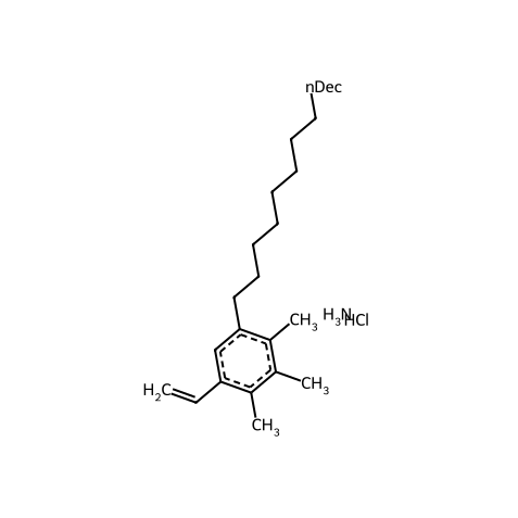 C=Cc1cc(CCCCCCCCCCCCCCCCCC)c(C)c(C)c1C.Cl.N